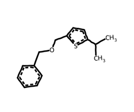 CC(C)c1ccc(COCc2ccccc2)s1